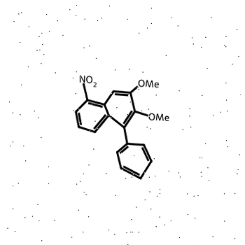 COc1cc2c([N+](=O)[O-])cccc2c(-c2ccccc2)c1OC